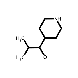 CC(C)C([O])C1CCNCC1